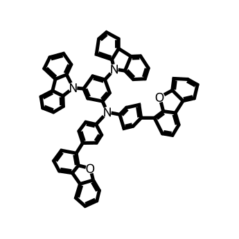 c1ccc2c(c1)oc1c(-c3ccc(N(c4ccc(-c5cccc6c5oc5ccccc56)cc4)c4cc(-n5c6ccccc6c6ccccc65)cc(-n5c6ccccc6c6ccccc65)c4)cc3)cccc12